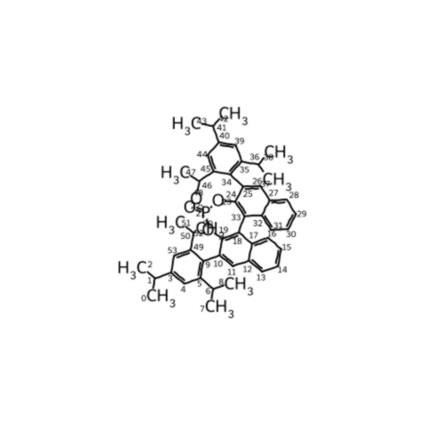 CC(C)c1cc(C(C)C)c(-c2cc3ccccc3c3c2OP2(=O)Oc4c(cc5ccccc5c4-3)-c3c(C(C)C)cc(C(C)C)cc3C(C)O2)c(C(C)C)c1